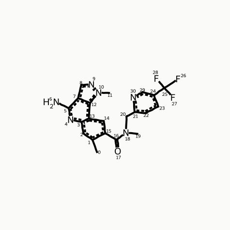 Cc1cc2nc(N)c3cnn(C)c3c2cc1C(=O)N(C)Cc1ccc(C(F)(F)F)cn1